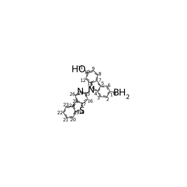 Bc1ccc2c(c1)c1ccc(O)cc1n2-c1cc2sc3ccccc3c2cn1